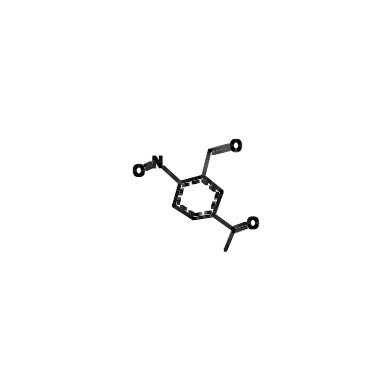 CC(=O)c1ccc(N=O)c(C=O)c1